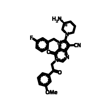 COc1cccc(C(=O)Cn2cnc3c(C#N)c(N4CCC[C@H](N)C4)n(Cc4cccc(F)c4)c3c2=O)c1